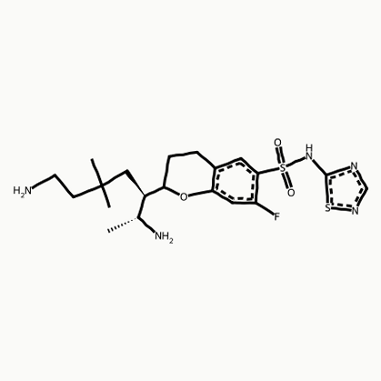 C[C@@H](N)[C@@H](CC(C)(C)CCN)C1CCc2cc(S(=O)(=O)Nc3ncns3)c(F)cc2O1